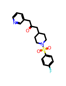 O=C(Cc1cccnc1)CC1CCN(S(=O)(=O)c2ccc(F)cc2)CC1